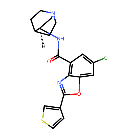 O=C(N[C@@H]1CN2CCC1CC2)c1cc(Cl)cc2oc(-c3ccsc3)nc12